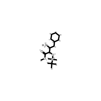 COC(=O)C(O[Si](C)(C)C(C)(C)C)C(N)CC1CCCCC1